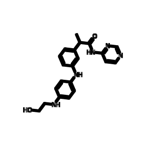 CC(C(=O)Nc1ccncn1)c1cccc(Nc2ccc(NCCO)cc2)c1